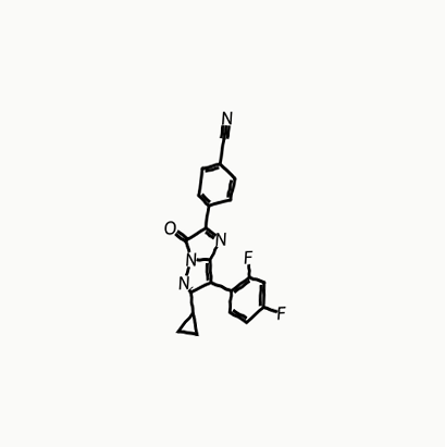 N#Cc1ccc(C2=Nc3c(-c4ccc(F)cc4F)c(C4CC4)nn3C2=O)cc1